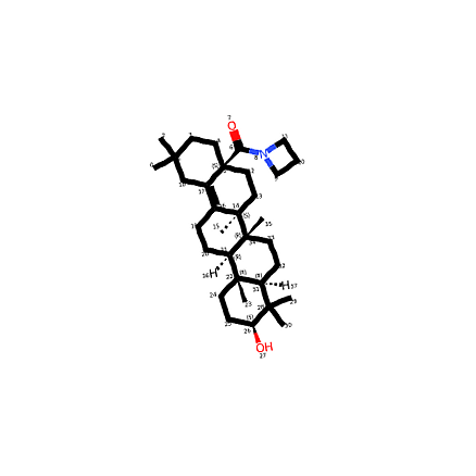 CC1(C)CC[C@]2(C(=O)N3CCC3)CC[C@]3(C)C(=C2C1)CC[C@@H]1[C@@]2(C)CC[C@H](O)C(C)(C)[C@@H]2CC[C@]13C